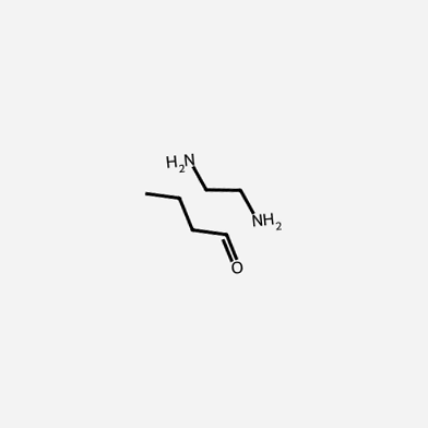 CCCC=O.NCCN